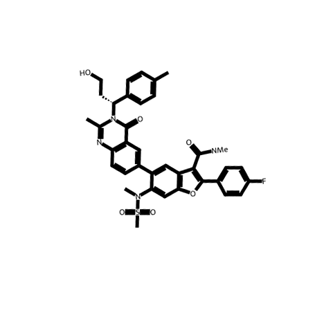 CNC(=O)c1c(-c2ccc(F)cc2)oc2cc(N(C)S(C)(=O)=O)c(-c3ccc4nc(C)n([C@H](CCO)c5ccc(C)cc5)c(=O)c4c3)cc12